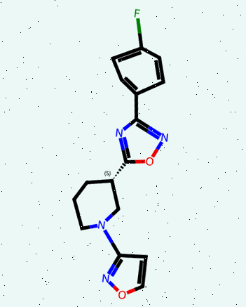 Fc1ccc(-c2noc([C@H]3CCCN(c4c[c]on4)C3)n2)cc1